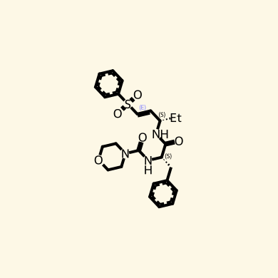 CC[C@@H](/C=C/S(=O)(=O)c1ccccc1)NC(=O)[C@H](Cc1ccccc1)NC(=O)N1CCOCC1